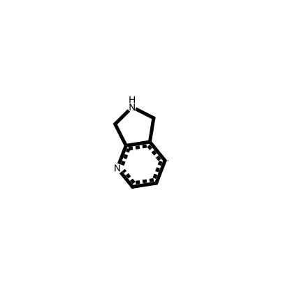 [c]1ccnc2c1CNC2